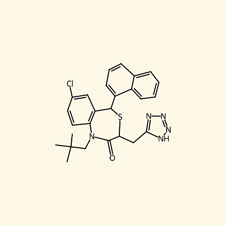 CC(C)(C)CN1C(=O)C(Cc2nnn[nH]2)SC(c2cccc3ccccc23)c2cc(Cl)ccc21